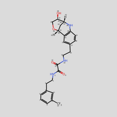 O=C(NCCc1cccc(C(F)(F)F)c1)C(=O)NCCc1ccc2c(c1)[C@H]1C[C@@H](N2)[C@H](O)CO1